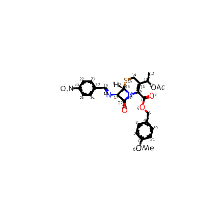 COc1ccc(COC(=O)C2=C(C(C)OC(C)=O)CS[C@H]3[C@H](N=Cc4ccc([N+](=O)[O-])cc4)C(=O)N23)cc1